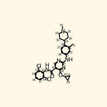 Cc1cc(Nc2ncc(C(=O)Nc3c(Cl)cccc3Cl)c(OC3CC3)n2)ccc1C1CCN(C)CC1